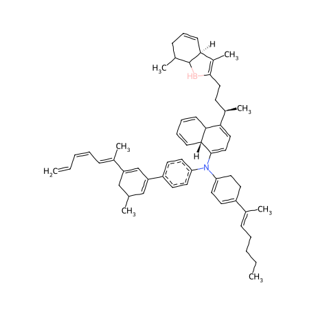 C=C/C=C\C=C(/C)C1=CC(c2ccc(N(C3=CC=C(/C(C)=C/CCCC)CC3)C3=CC=C([C@H](C)CCC4=C(C)[C@@H]5C=CCC(C)C5B4)C4C=CC=C[C@@H]34)cc2)=CC(C)C1